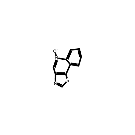 [O-][n+]1cc2ncsc2c2ccccc21